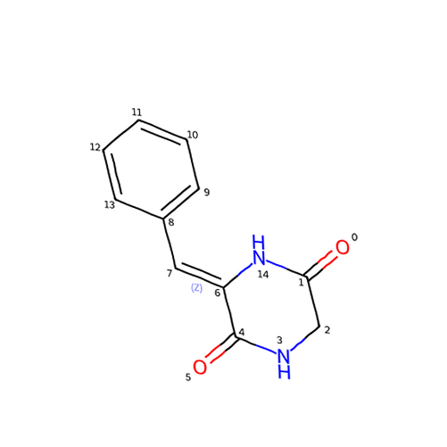 O=C1CNC(=O)/C(=C/c2ccccc2)N1